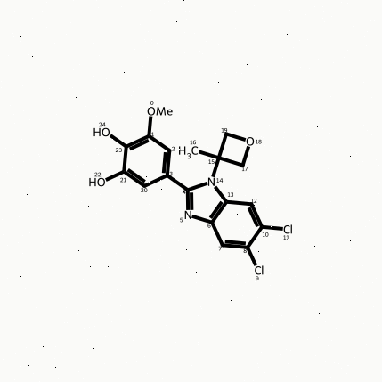 COc1cc(-c2nc3cc(Cl)c(Cl)cc3n2C2(C)COC2)cc(O)c1O